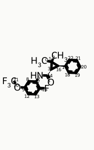 CC1(C)[C@@H](C(=O)Nc2cc(OC(F)(F)F)ccc2F)[C@@H]1c1ccccc1